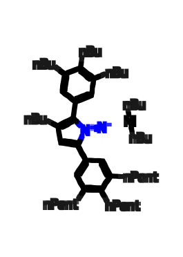 CCCCCc1cc(C2=CC(CCCC)=C(c3cc(CCCC)c(CCCC)c(CCCC)c3)[N+]2=[N-])cc(CCCCC)c1CCCCC.CCC[CH2][Ni][CH2]CCC